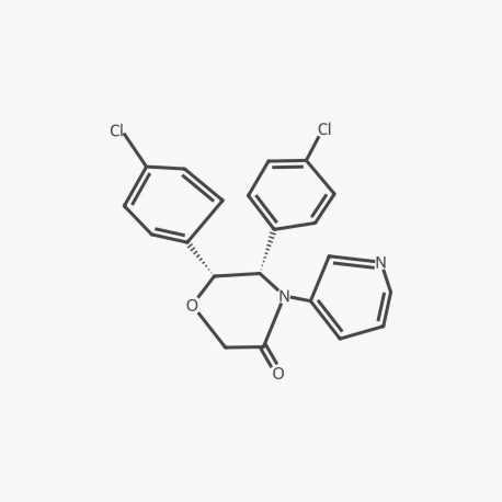 O=C1CO[C@H](c2ccc(Cl)cc2)[C@H](c2ccc(Cl)cc2)N1c1cccnc1